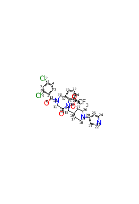 O=C(c1ccc(Cl)cc1Cl)N1CC(=O)[N+](CC2CCN(c3ccncc3)CC2)(OC(=O)C(F)(F)F)c2ccccc2C1